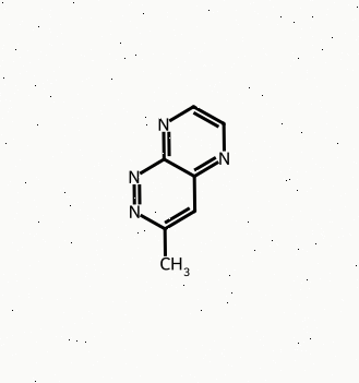 Cc1cc2nccnc2nn1